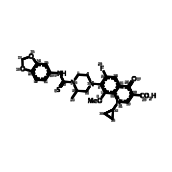 COc1c(N2CCN(C(=S)Nc3ccc4c(c3)OCO4)C(C)C2)c(F)cc2c(=O)c(C(=O)O)cn(C3CC3)c12